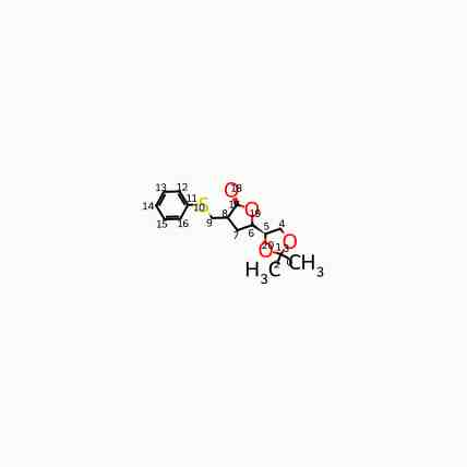 CC1(C)OC[C@H](C2CC(CSc3ccccc3)C(=O)O2)O1